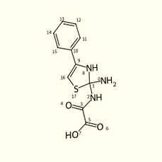 NC1(NC(=O)C(=O)O)NC(c2ccccc2)=CS1